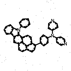 c1ccc(-n2c3ccccc3c3cc4ccc5ccc(-c6ccc(N(c7ccncc7)c7ccncc7)cc6)c6ccc(c4c56)c32)cc1